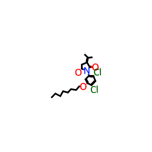 CCCCCCCCOc1cc(N2C(=O)CC(=C(C)C)C2=O)c(Cl)cc1Cl